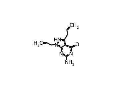 C=CCc1[nH]n(CC=C)c2nc(N)nc(=O)c1-2